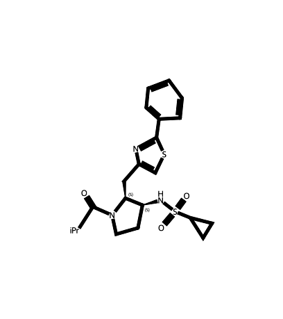 CC(C)C(=O)N1CC[C@H](NS(=O)(=O)C2CC2)[C@@H]1Cc1csc(-c2ccccc2)n1